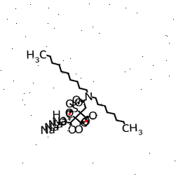 CCCCCCCCCCN(CCCCCCCC)C(=O)CC(C(=O)[O-])(C(C)(C(=O)[O-])C(=O)[O-])S(=O)(=O)[O-].[Na+].[Na+].[Na+].[Na+]